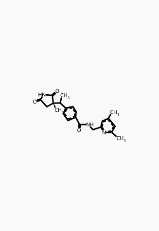 Cc1cc(C)nc(CNC(=O)c2ccc(C(C)[C@]3(C)CC(=O)NC3=O)cc2)c1